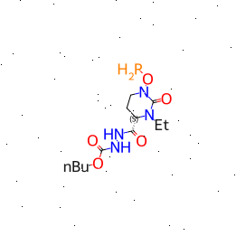 CCCCOC(=O)NNC(=O)[C@@H]1CCN(OP)C(=O)N1CC